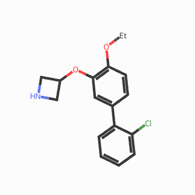 CCOc1ccc(-c2ccccc2Cl)cc1OC1CNC1